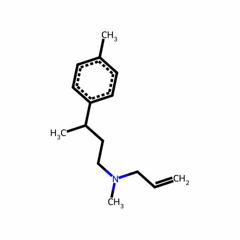 C=CCN(C)CCC(C)c1ccc(C)cc1